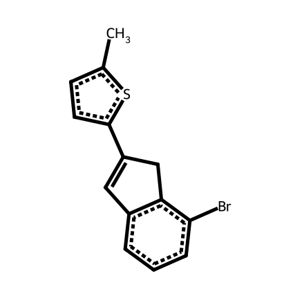 Cc1ccc(C2=Cc3cccc(Br)c3C2)s1